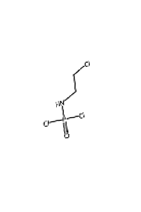 O=P(Cl)(Cl)NCCCl